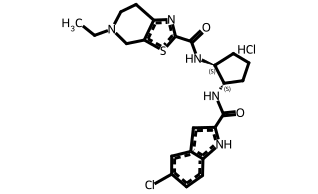 CCN1CCc2nc(C(=O)N[C@H]3CCC[C@@H]3NC(=O)c3cc4cc(Cl)ccc4[nH]3)sc2C1.Cl